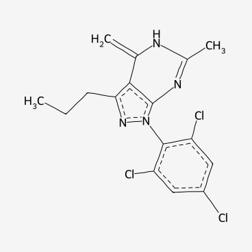 C=C1NC(C)=Nc2c1c(CCC)nn2-c1c(Cl)cc(Cl)cc1Cl